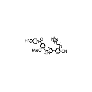 COc1cc(C(=O)N2CCC3(CC2)CNC3)ccc1Nc1ncc(-c2ccc(C#N)c(O[C@@H](C)Cn3cnnn3)c2)cn1